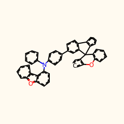 c1ccc(N(c2ccc(-c3ccc4c(c3)C3(c5ccccc5Oc5ccccc53)c3ccccc3-4)cc2)c2cccc3oc4ccccc4c23)cc1